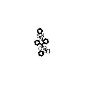 O=C(Oc1ccccc1SCl)C1c2ccccc2N(c2nc3ccccc3s2)c2ccccc21